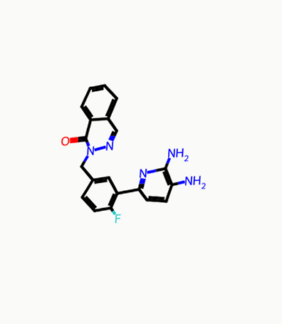 Nc1ccc(-c2cc(Cn3ncc4ccccc4c3=O)ccc2F)nc1N